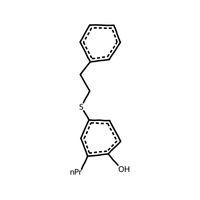 CCCc1cc(SCCc2ccccc2)ccc1O